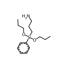 CCCO[Si](CCCN)(OCCC)c1ccccc1